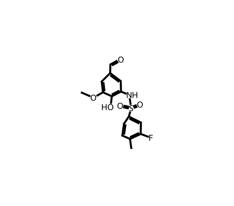 COc1cc(C=O)cc(NS(=O)(=O)c2ccc(C)c(F)c2)c1O